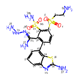 NCCS(=O)(=O)c1ccc(-c2cccc3nc(N)sc23)c(/C(N)=N/NN)c1S(N)(=O)=O